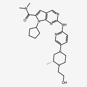 C[C@@H]1CN(c2ccc(Nc3ncc4cc(C(=O)N(C)C)n(C5CCCC5)c4n3)nc2)CCN1CCO